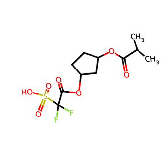 CC(C)C(=O)OC1CCC(OC(=O)C(F)(F)S(=O)(=O)O)C1